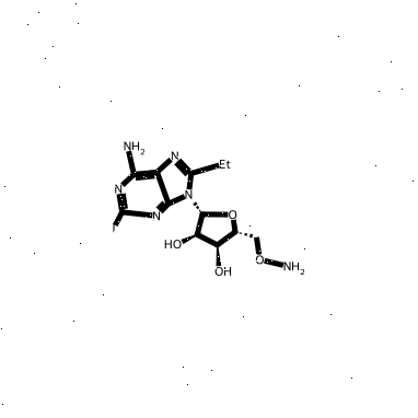 CCc1nc2c(N)nc(I)nc2n1[C@@H]1O[C@H](CON)[C@@H](O)[C@H]1O